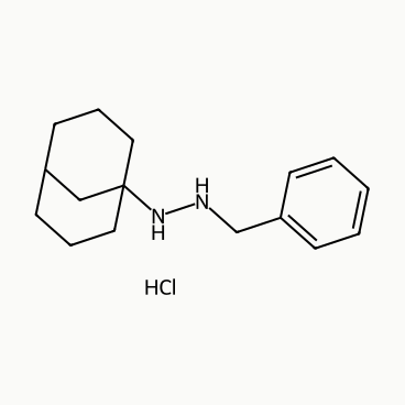 Cl.c1ccc(CNNC23CCCC(CCC2)C3)cc1